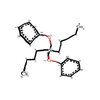 CCCC[Si](CCCC)(Oc1ccccc1)Oc1ccccc1